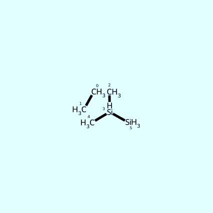 CC.C[SiH](C)[SiH3]